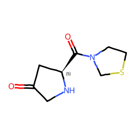 O=C1CN[C@H](C(=O)N2CCSC2)C1